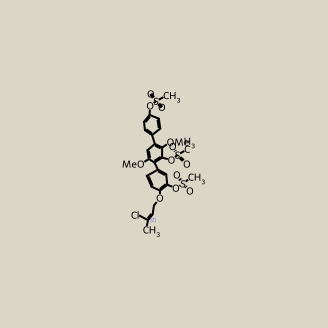 COc1cc(-c2ccc(OS(C)(=O)=O)cc2)c(OC)c(OS(C)(=O)=O)c1-c1ccc(OC/C=C(/C)Cl)c(OS(C)(=O)=O)c1